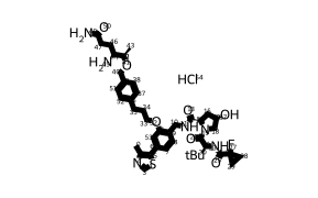 Cc1ncsc1-c1ccc(CNC(=O)[C@@H]2C[C@@H](O)CN2C(=O)[C@@H](NC(=O)C2(F)CC2)C(C)(C)C)c(OCCCc2ccc(CO[C@H](C)[C@@H](N)CCC(N)=O)cc2)c1.Cl